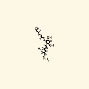 CCCCCC(=O)CC[C@@H]1[C@H](/C=C/C(C)=C/C(=O)OCC)[C@@H](O)C[C@H]1O